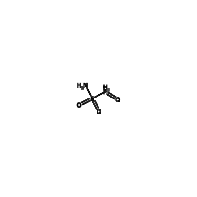 NS(=O)(=O)[PH2]=O